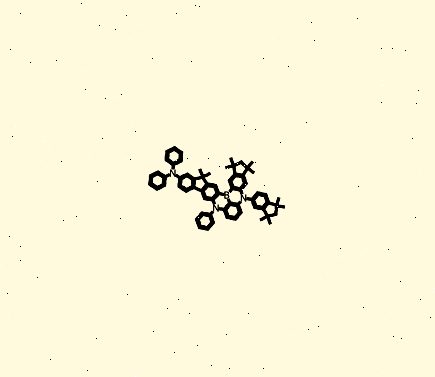 CC1(C)CC(C)(C)c2cc(N3c4cc5c(cc4B4c6cc7c(cc6N(c6ccccc6)c6cccc3c64)-c3ccc(N(c4ccccc4)c4ccccc4)cc3C7(C)C)C(C)(C)CC5(C)C)ccc21